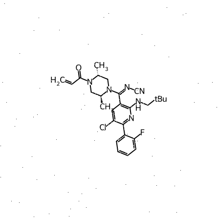 C=CC(=O)N1C[C@H](C)N(/C(=N/C#N)c2cc(Cl)c(-c3ccccc3F)nc2NCC(C)(C)C)C[C@H]1C